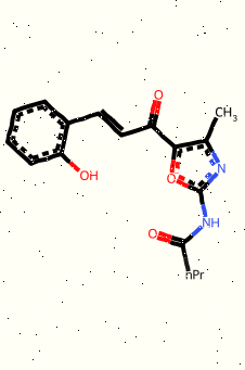 CCCC(=O)Nc1nc(C)c(C(=O)C=Cc2ccccc2O)o1